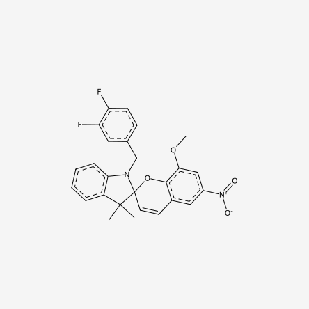 COc1cc([N+](=O)[O-])cc2c1OC1(C=C2)N(Cc2ccc(F)c(F)c2)c2ccccc2C1(C)C